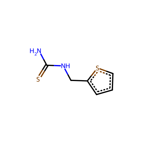 NC(=S)NCc1cccs1